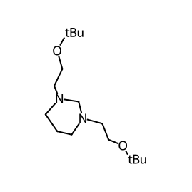 CC(C)(C)OCCN1CCCN(CCOC(C)(C)C)C1